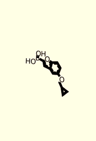 OB(O)c1cc2cc(OCC3CC3)ccc2o1